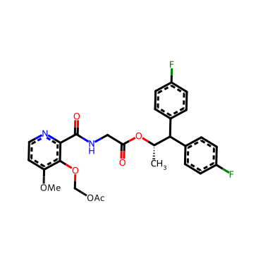 COc1ccnc(C(=O)NCC(=O)O[C@@H](C)C(c2ccc(F)cc2)c2ccc(F)cc2)c1OCOC(C)=O